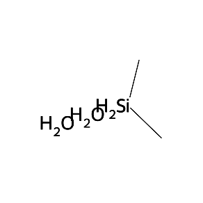 C[SiH2]C.O.O